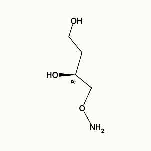 NOC[C@@H](O)CCO